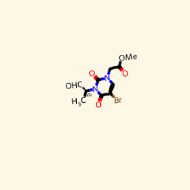 COC(=O)Cn1cc(Br)c(=O)n([C@@H](C)C=O)c1=O